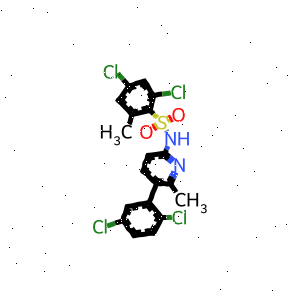 Cc1cc(Cl)cc(Cl)c1S(=O)(=O)Nc1ccc(-c2cc(Cl)ccc2Cl)c(C)n1